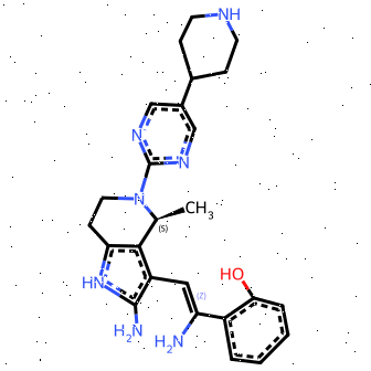 C[C@H]1c2c([nH]c(N)c2/C=C(\N)c2ccccc2O)CCN1c1ncc(C2CCNCC2)cn1